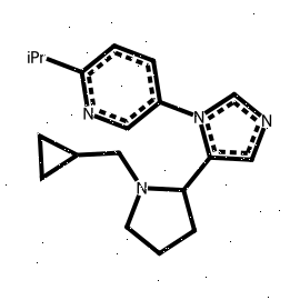 CC(C)c1ccc(-n2cncc2C2CCCN2CC2CC2)cn1